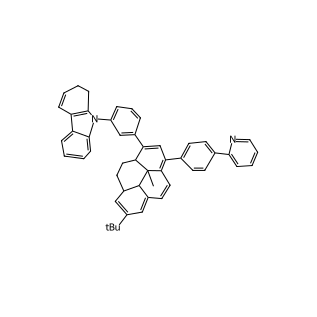 CC(C)(C)C1=CC2CCC3C(c4cccc(-n5c6c(c7ccccc75)C=CCC6)c4)=CC(c4ccc(-c5ccccn5)cc4)=C4C=CC(=C1)C2C43C